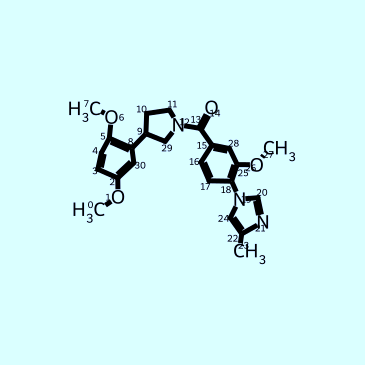 COc1ccc(OC)c(C2CCN(C(=O)c3ccc(-n4cnc(C)c4)c(OC)c3)C2)c1